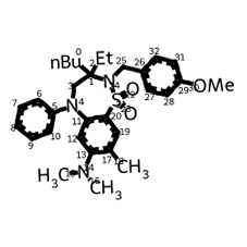 CCCCC1(CC)CN(c2ccccc2)c2cc(N(C)C)c(C)cc2S(=O)(=O)N1Cc1ccc(OC)cc1